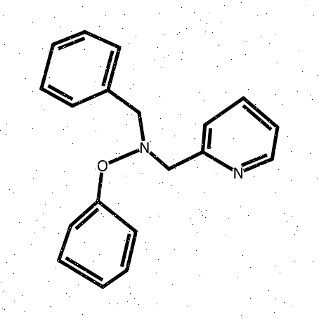 c1ccc(CN(Cc2ccccn2)Oc2ccccc2)cc1